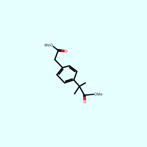 COC(=O)Cc1ccc(C(C)(C)C(=O)OC)cc1